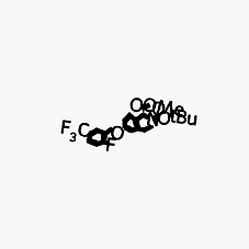 COC(=O)[C@H]1c2ccc(OCc3cc(C(F)(F)F)ccc3F)cc2CCN1C(=O)OC(C)(C)C